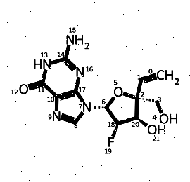 C=C[C@]1(CO)O[C@@H](n2cnc3c(=O)[nH]c(N)nc32)[C@H](F)[C@@H]1O